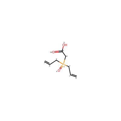 C=CCP(=O)(CC=C)CC(=O)O